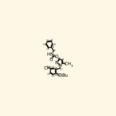 Cc1cc(OC(=O)NCc2ccccc2)nn1Cc1cc(Cl)ccc1OCC(C)C